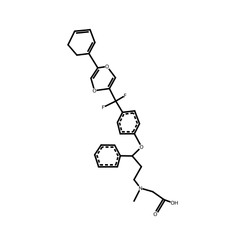 CN(CCC(Oc1ccc(C(F)(F)C2=COC(C3=CC=CCC3)=CO2)cc1)c1ccccc1)CC(=O)O